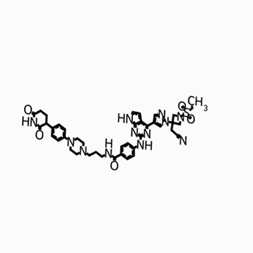 CCS(=O)(=O)N1CC(CC#N)(n2cc(-c3nc(Nc4ccc(C(=O)NCCCN5CCN(c6ccc(C7CCC(=O)NC7=O)cc6)CC5)cc4)nc4[nH]ccc34)cn2)C1